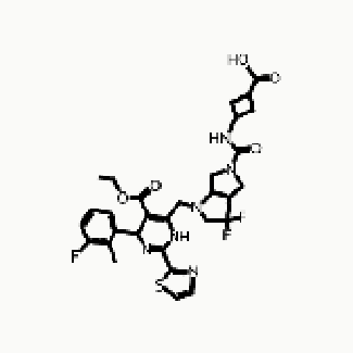 CCOC(=O)C1=C(CN2CC(F)(F)C3CN(C(=O)NC4CC(C(=O)O)C4)CC32)NC(c2nccs2)=NC1c1cccc(F)c1C